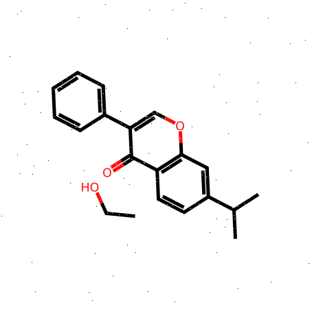 CC(C)c1ccc2c(=O)c(-c3ccccc3)coc2c1.CCO